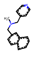 CN(Cc1ccncc1)Cc1ccc2ccccc2c1